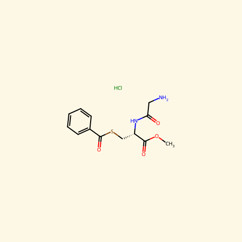 COC(=O)[C@H](CSC(=O)c1ccccc1)NC(=O)CN.Cl